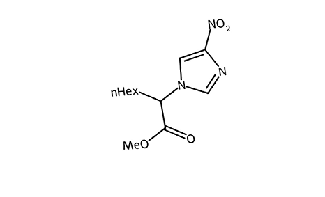 CCCCCCC(C(=O)OC)n1cnc([N+](=O)[O-])c1